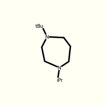 CC(C)N1CCCN(C(C)(C)C)CC1